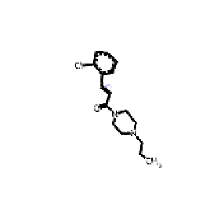 CCCN1CCN(C(=O)/C=C/c2ccccc2Cl)CC1